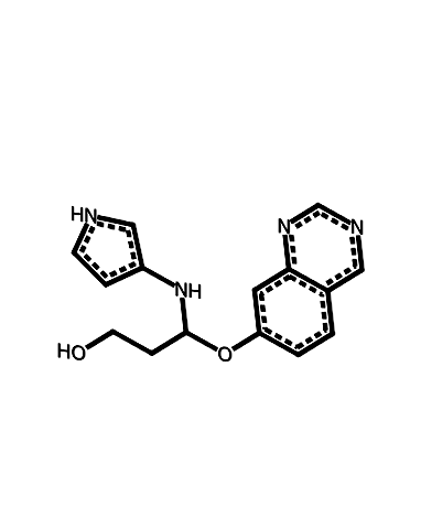 OCCC(Nc1cc[nH]c1)Oc1ccc2cncnc2c1